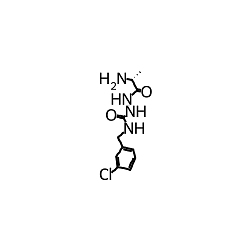 C[C@@H](N)C(=O)NNC(=O)NCc1cccc(Cl)c1